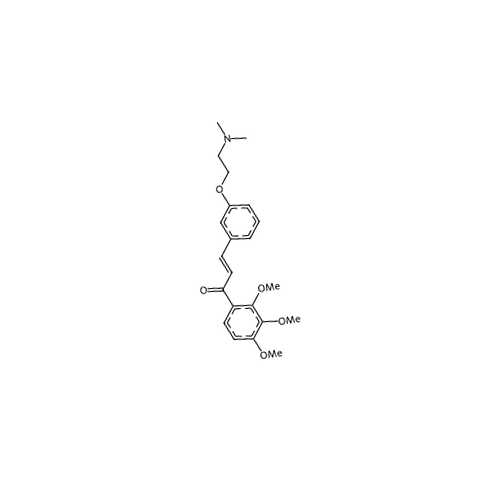 COc1ccc(C(=O)C=Cc2cccc(OCCN(C)C)c2)c(OC)c1OC